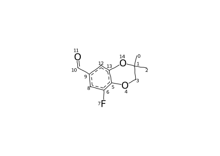 CC1(C)COc2c(F)cc(C=O)cc2O1